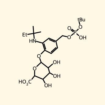 CCC(C)(C)Nc1cc(COP(=O)(O)OC(C)(C)C)ccc1OC1OC(C(=O)O)C(O)C(O)C1O